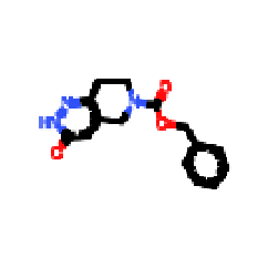 O=C(OCc1ccccc1)N1CCc2n[nH]c(=O)cc2C1